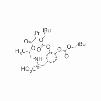 CCC(C)COC(=O)Oc1ccc(C[C@H](NCC(C)OC(=O)CC(C)C)C(=O)O)cc1OC(=O)OCC(C)CC